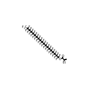 C=C(CC)C(=O)OC(F)(F)C(F)(F)C(F)(F)C(F)(F)C(F)(F)C(F)(F)C(F)(F)C(F)(F)C(F)(F)C(F)(F)C(F)(F)C(F)(F)C(F)(F)C(F)(F)C(F)(F)C(F)(F)C(F)(F)C(F)(F)C(F)(F)F